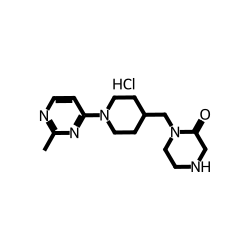 Cc1nccc(N2CCC(CN3CCNCC3=O)CC2)n1.Cl